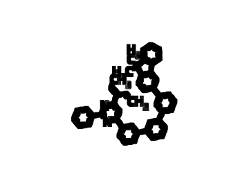 C=C/C(=C\C)c1cc(-c2cccc(-c3cccc(-c4cccc(-c5ccc6c(c5)-c5ccccc5C6(C)C)c4)c3)c2)nc(-c2ccccc2)n1